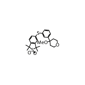 COC1(c2cccc(Sc3ccc4c(c3)C(C)(C)S(=O)(=O)C4(C)C)c2)CCOCC1